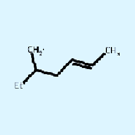 [CH2]C(CC)C/C=C/C